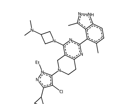 CCn1nc(C2CC2)c(Cl)c1N1CCc2nc(-c3c(C)ccc4[nH]nc(C)c34)nc(N3CC(N(C)C)C3)c2C1